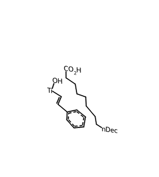 CCCCCCCCCCCCCCCCCC(=O)O.[OH][Ti][CH]=Cc1ccccc1